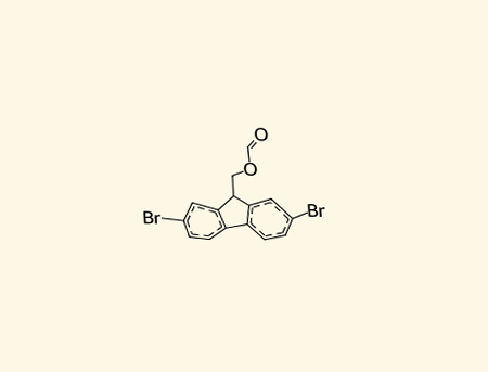 O=COCC1c2cc(Br)ccc2-c2ccc(Br)cc21